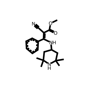 COC(=O)C(C#N)=C(NC1CC(C)(C)NC(C)(C)C1)c1ccccc1